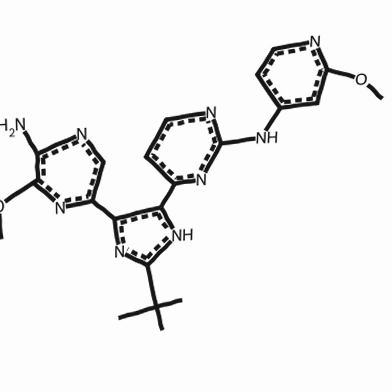 COc1cc(Nc2nccc(-c3[nH]c(C(C)(C)C)nc3-c3cnc(N)c(OC)n3)n2)ccn1